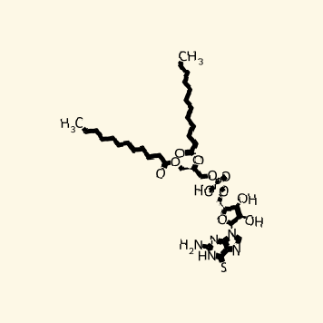 CCCCCCCCCCCC(=O)OC[C@H](COP(=O)(O)OC[C@H]1O[C@@H](n2cnc3c(=S)[nH]c(N)nc32)[C@H](O)[C@@H]1O)OC(=O)CCCCCCCCCCC